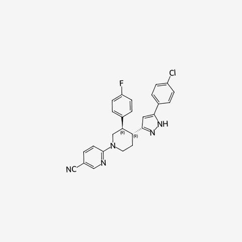 N#Cc1ccc(N2CC[C@@H](c3cc(-c4ccc(Cl)cc4)[nH]n3)[C@H](c3ccc(F)cc3)C2)nc1